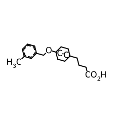 Cc1cccc(COC23CCC(CCCC(=O)O)(CC2)CC3)c1